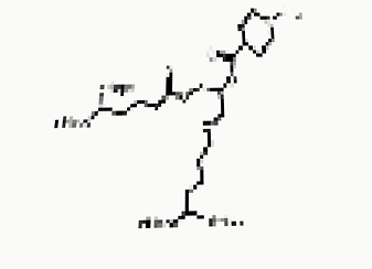 CCCCCCCC(CCCCCCC)CCCCOCC(COC(=O)CCCC(CCCCCCC)CCCCCCC)OC(=O)C1CCN(C)CC1